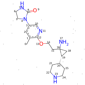 Cc1cc(N2CCNC2=O)cnc1OCCC1(N)C[C@@H]1C1CCNCC1